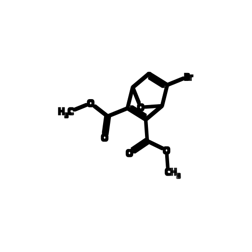 COC(=O)C1=C(C(=O)OC)C2OC1C=C2Br